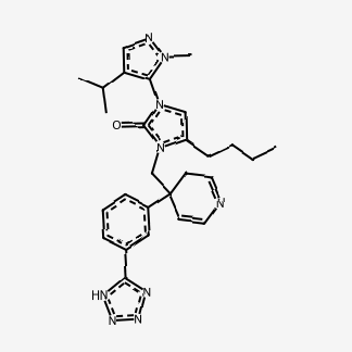 CCCCc1cn(-c2c(C(C)C)cnn2C)c(=O)n1CC1(c2cccc(-c3nnn[nH]3)c2)C=CN=CC1